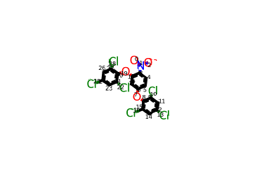 O=[N+]([O-])c1ccc(Oc2c(Cl)cc(Cl)cc2Cl)cc1Oc1c(Cl)cc(Cl)cc1Cl